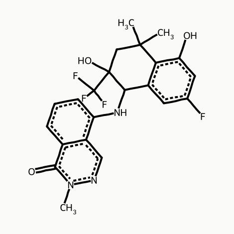 Cn1ncc2c(NC3c4cc(F)cc(O)c4C(C)(C)CC3(O)C(F)(F)F)cccc2c1=O